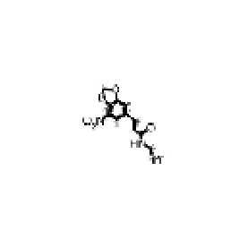 CC(C)CNC(=O)/C=C/c1cc2c(c([N+](=O)[O-])c1)OCO2